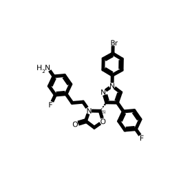 Nc1ccc(CCN2C(=O)CO[C@H]2c2nn(-c3ccc(Br)cc3)cc2-c2ccc(F)cc2)c(F)c1